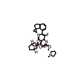 CN1CCC[C@H]1COc1nc(N2C[C@H]3CC[C@@H](C2)N3C(=O)OC(C)(C)C)c2cnc(-c3cccc4c3C3(CC4)CC3)c(F)c2n1